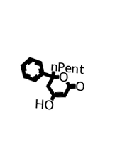 CCCCCC1(c2ccccc2)CC(O)=CC(=O)O1